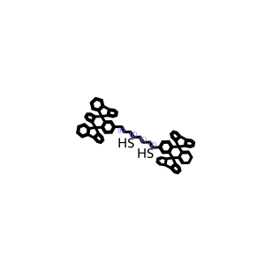 SC(=C\C=C\c1ccc2c(c1)C1(c3ccccc3-c3ccccc31)c1ccccc1C21c2ccccc2-c2ccccc21)/C=C/C=C(\S)c1ccc2c(c1)C1(C3=CCCC=C3C23c2ccccc2-c2ccccc23)c2ccccc2C2C=CC=CC21